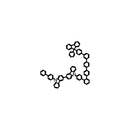 c1ccc(-c2ccc(-n3c4ccccc4c4cc(-c5ccc6c(c5)c5ccccc5n6-c5ccc(-c6ccccc6-c6ccc(-c7ccc(-c8cccc(-c9ccc(C%10(c%11ccccc%11)c%11ccccc%11-c%11ccccc%11%10)cc9)c8)cc7)cc6)cc5)ccc43)cc2)cc1